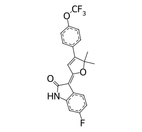 CC1(C)O/C(=C2/C(=O)Nc3cc(F)ccc32)C=C1c1ccc(OC(F)(F)F)cc1